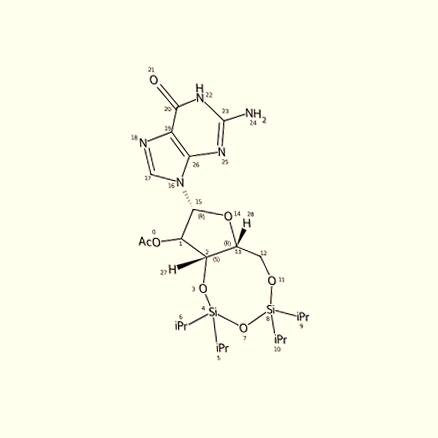 CC(=O)OC1[C@H]2O[Si](C(C)C)(C(C)C)O[Si](C(C)C)(C(C)C)OC[C@H]2O[C@H]1n1cnc2c(=O)[nH]c(N)nc21